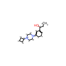 CCC(O)C1=CC[CH]C(N2CCN(C3CCC3)CC2)=C1